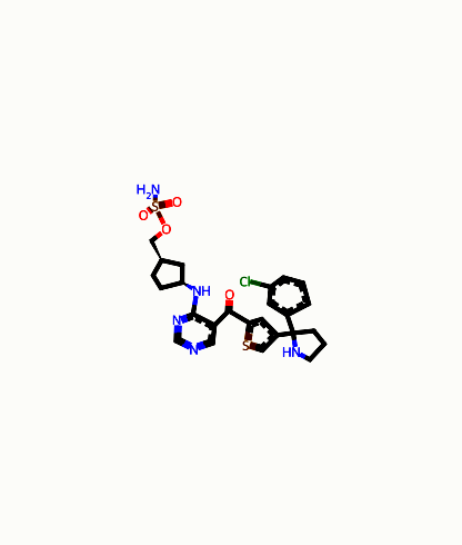 NS(=O)(=O)OC[C@@H]1CC[C@H](Nc2ncncc2C(=O)c2cc(C3(c4cccc(Cl)c4)CCCN3)cs2)C1